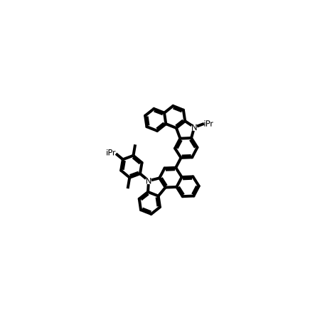 Cc1cc(-n2c3ccccc3c3c4ccccc4c(-c4ccc5c(c4)c4c6ccccc6ccc4n5C(C)C)cc32)c(C)cc1C(C)C